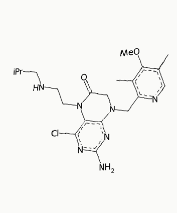 COc1c(C)cnc(CN2CC(=O)N(CCNCC(C)C)c3c(Cl)nc(N)nc32)c1C